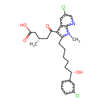 C[C@H](CC(=O)O)CC(=O)c1c(CCCCC[C@H](O)c2cccc(Cl)c2)n(C)c2ncc(Cl)cc12